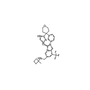 CC1(NCc2cc(C(F)(F)F)c3cn(-c4cccc(C5(c6nnc[nH]6)CCOCC5)c4)c(=O)n3c2)CCC1